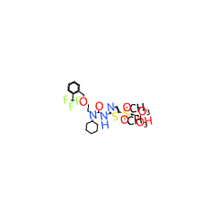 CC(C)(C(=O)O)S(=O)(=O)c1cnc(NC(=O)N(CCOCc2ccccc2C(F)(F)F)C2CCCCC2)s1